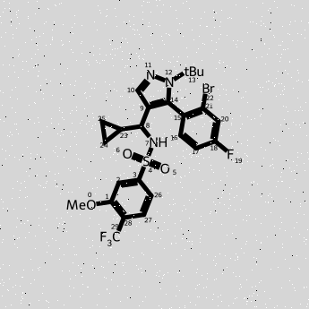 COc1cc(S(=O)(=O)NC(c2cnn(C(C)(C)C)c2-c2ccc(F)cc2Br)C2CC2)ccc1C(F)(F)F